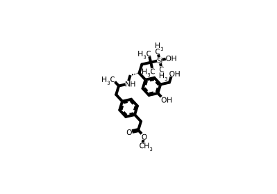 COC(=O)Cc1ccc(CC(C)NC[C@H](CC(C)(C)[Si](C)(C)O)c2ccc(O)c(CO)c2)cc1